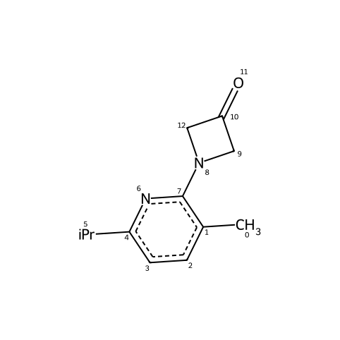 Cc1ccc(C(C)C)nc1N1CC(=O)C1